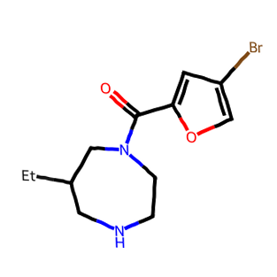 CCC1CNCCN(C(=O)c2cc(Br)co2)C1